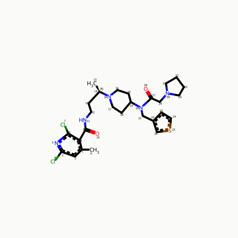 Cc1cc(Cl)nc(Cl)c1C(=O)NCC[C@@H](C)N1CCC(N(Cc2ccsc2)C(=O)CN2CCCC2)CC1